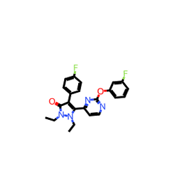 CCn1c(-c2ccnc(Oc3cccc(F)c3)n2)c(-c2ccc(F)cc2)c(=O)n1CC